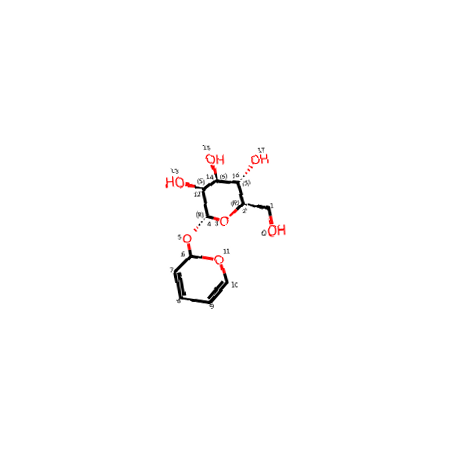 OC[C@H]1O[C@H](OC2C=CC=CO2)[C@@H](O)[C@@H](O)[C@@H]1O